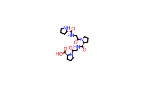 O=C(NCC(=O)N1CCC[C@H]1C(=O)NCC(=O)N1CCC[C@H]1C(=O)O)[C@@H]1CCCN1